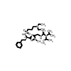 CCN(CC)CCCS(=O)(=O)N[C@H](CCc1ccccc1)c1nc(CNC(=O)N(C(C)C)C(C)C)n(C)n1